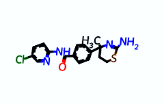 CC1(c2ccc(C(=O)Nc3ccc(Cl)cn3)cc2)CCSC(N)=N1